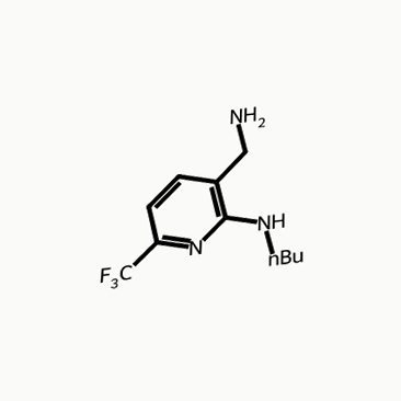 CCCCNc1nc(C(F)(F)F)ccc1CN